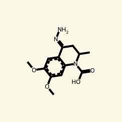 COc1cc2c(cc1OC)N(C(=O)O)C(C)CC2=NN